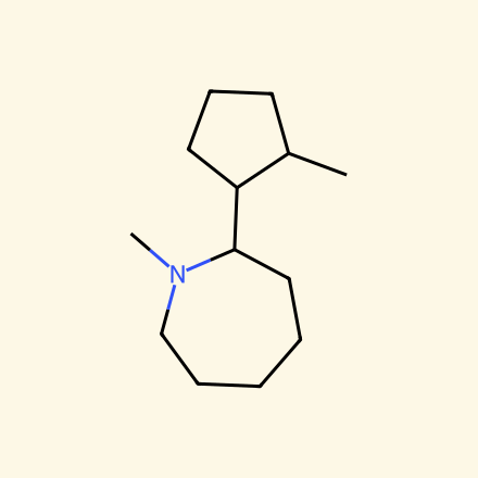 CC1CCCC1C1CCCCCN1C